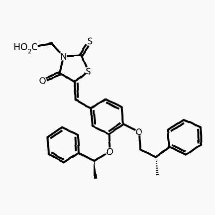 C[C@H](COc1ccc(/C=C2\SC(=S)N(CC(=O)O)C2=O)cc1O[C@@H](C)c1ccccc1)c1ccccc1